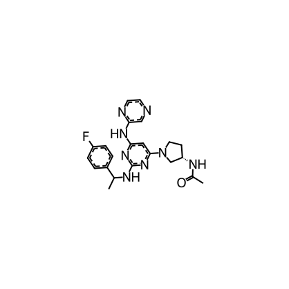 CC(=O)N[C@H]1CCN(c2cc(Nc3cnccn3)nc(NC(C)c3ccc(F)cc3)n2)C1